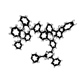 c1ccc(-c2nc(-c3ccccc3)nc(-c3ccc(-n4c5ccccc5c5c6oc7ccccc7c6ccc54)c(-c4ccc(-c5cccc(N6c7ccccc7B7c8ccccc8N(c8ccccc8)c8cccc6c87)c5)cc4)c3)n2)cc1